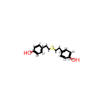 Oc1ccc(CCSCCc2ccc(O)cc2)cc1